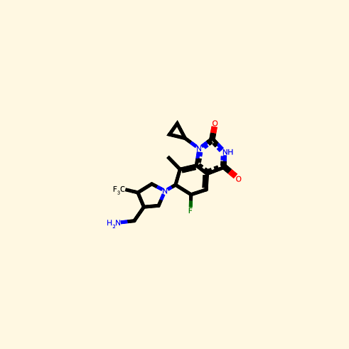 CC1=c2c(c(=O)[nH]c(=O)n2C2CC2)=CC(F)C1N1CC(CN)C(C(F)(F)F)C1